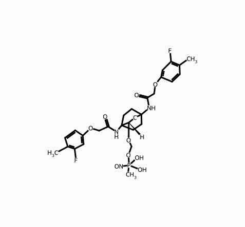 Cc1ccc(OCC(=O)NC23CCC(NC(=O)COc4ccc(C)c(F)c4)(CC2)[C@@H](OCOP(C)(O)(O)N=O)C3)cc1F